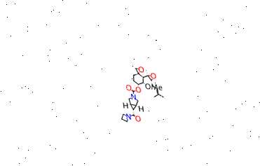 CO[C@@H]1[C@H](OC(=O)N2C[C@@H]3[C@H](C2)[C@H]3C(=O)N2CCC2)CC[C@]2(CO2)[C@H]1[C@@]1(C)O[C@@H]1CC=C(C)C